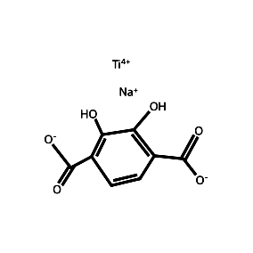 O=C([O-])c1ccc(C(=O)[O-])c(O)c1O.[Na+].[Ti+4]